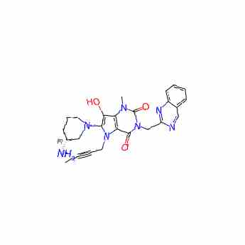 CC#CCn1c(N2CCC[C@@H](N)C2)c(O)c2c1c(=O)n(Cc1ncc3ccccc3n1)c(=O)n2C